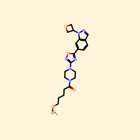 COCCCCC(=O)N1CCN(c2noc(-c3ccc4cnn(C5COC5)c4c3)n2)CC1